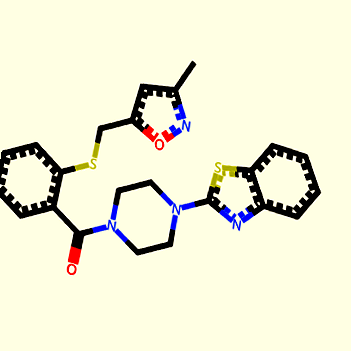 Cc1cc(CSc2ccccc2C(=O)N2CCN(c3nc4ccccc4s3)CC2)on1